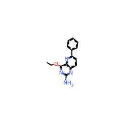 CCOc1nc(N)nc2ccc(-c3ccccc3)nc12